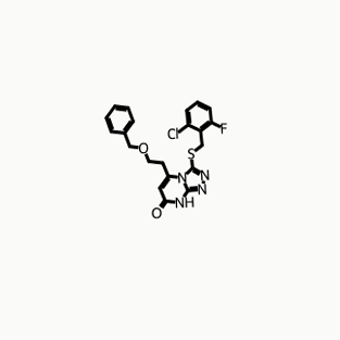 O=c1cc(CCOCc2ccccc2)n2c(SCc3c(F)cccc3Cl)nnc2[nH]1